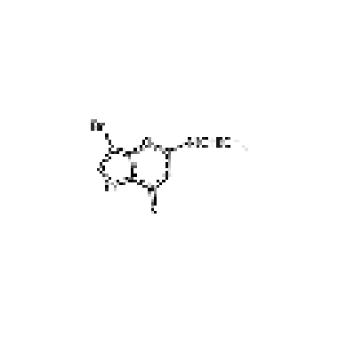 CN(O)c1cc(=S)c2occ(Br)c2o1